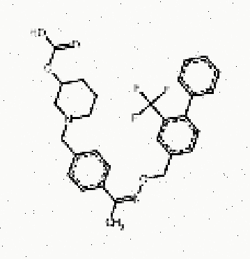 CC(=NOCc1ccc(-c2ccccc2)c(C(F)(F)F)c1)c1ccc(CN2CCCC(OC(=O)O)C2)cc1